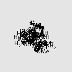 COc1cccc2c1C(=O)c1c(O)c3c(c(O)c1C2=O)C[C@@](O)(C(C)=O)C[C@@H]3O[C@H]1C[C@H](N)[C@H](O)[C@H](C)O1.Cc1c(N)nc([C@H](CC(N)=O)NC[C@H](N)C(N)=O)nc1C(=O)N[C@H](C(=O)N[C@H](C)[C@@H](O)[C@H](C)C(=O)N[C@H](C(=O)NCCc1nc(-c2nc(C(=O)NCCC[S+](C)C)cs2)cs1)[C@@H](C)O)[C@@H](O[C@@H]1O[C@@H](CO)[C@H](O)[C@@H](O)[C@@H]1O[C@@H]1O[C@@H](CO)[C@H](O)[C@@H](OC(N)=O)[C@@H]1O)c1cnc[nH]1